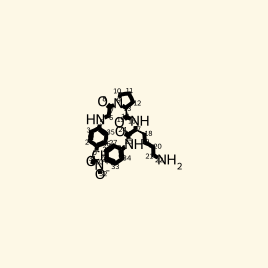 Cc1ccc(NCC(=O)N2CCC[C@H]2C(=O)N[C@@H](CCCCN)C(=O)Nc2ccc([N+](=O)[O-])cc2)cc1